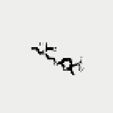 CCCN(CCOc1ccc([N+](=O)[O-])c(C)n1)C(=O)O